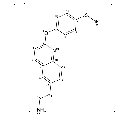 CC(C)Sc1ccc(Oc2ccc3cc(CCN)ccc3n2)cc1